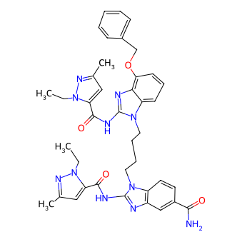 CCn1nc(C)cc1C(=O)Nc1nc2cc(C(N)=O)ccc2n1CCCCn1c(NC(=O)c2cc(C)nn2CC)nc2c(OCc3ccccc3)cccc21